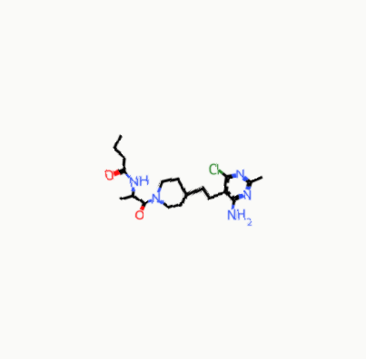 CCCC(=O)NC(C)C(=O)N1CCC(CCc2c(N)nc(C)nc2Cl)CC1